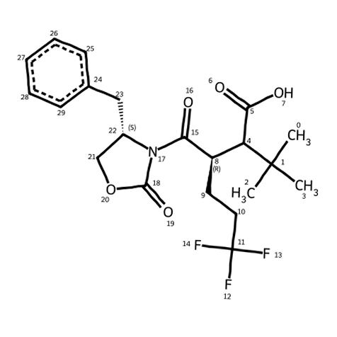 CC(C)(C)C(C(=O)O)[C@@H](CCC(F)(F)F)C(=O)N1C(=O)OC[C@@H]1Cc1ccccc1